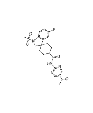 CC(=O)c1cnc(NC(=O)C2CCC3(CC2)CN(S(C)(=O)=O)c2ccc(F)cc23)nc1